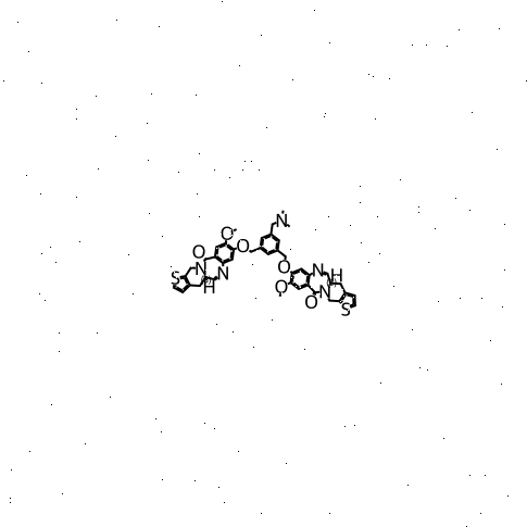 COc1cc2c(cc1OCc1cc(COc3cc4c(cc3OC)C(=O)N3Cc5sccc5C[C@H]3C=N4)cc(CN(C)C)c1)N=C[C@@H]1Cc3ccsc3CN1C2=O